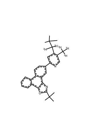 [2H]C([2H])([2H])c1cnc(-c2ccc3c4ccccc4c4oc(C(C)(C)C)nc4c3c2)cc1C([2H])([2H])C(C)(C)C